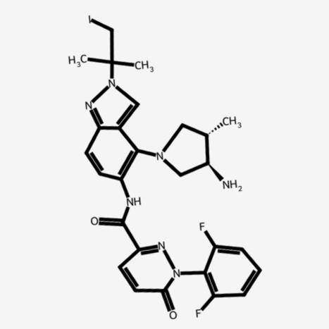 C[C@H]1CN(c2c(NC(=O)c3ccc(=O)n(-c4c(F)cccc4F)n3)ccc3nn(C(C)(C)CI)cc23)C[C@@H]1N